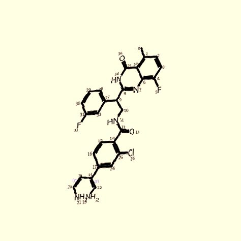 Cc1ccc(F)c2nc(C(CNC(=O)c3ccc(C(/C=C\N)=C/N)cc3Cl)c3cccc(F)c3)[nH]c(=O)c12